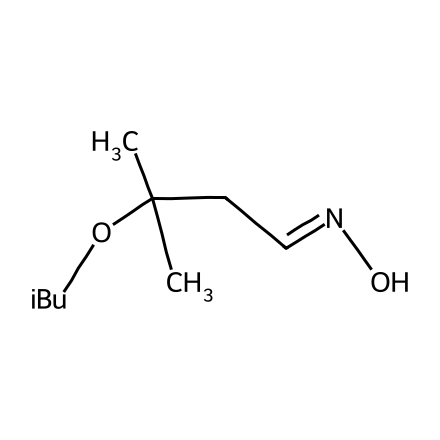 CCC(C)OC(C)(C)CC=NO